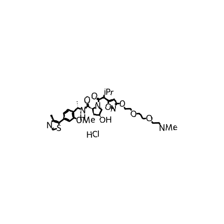 CNCCOCCOCCOc1cc(C(C(=O)N2C[C@H](O)C[C@H]2C(=O)N[C@@H](C)c2ccc(-c3scnc3C)cc2OC)C(C)C)on1.Cl